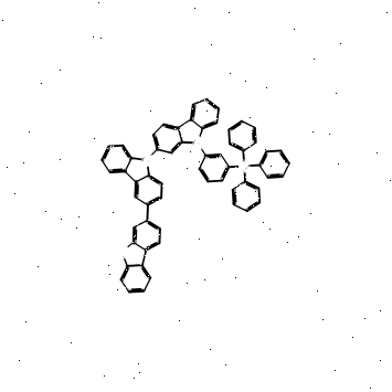 c1ccc([Si](c2ccccc2)(c2ccccc2)c2cccc(-n3c4ccccc4c4ccc(-n5c6ccccc6c6cc(-c7ccc8c(c7)oc7ccccc78)ccc65)cc43)c2)cc1